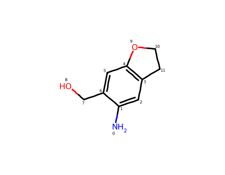 Nc1cc2c(cc1CO)OCC2